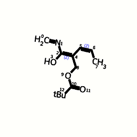 C=N/C(O)=C(\C=C/C)COC(=O)C(C)(C)C